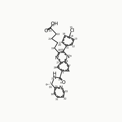 C[C@H](NC(=O)c1ccc2nc(-c3ccc(Cl)cc3)c(CCCCC(=O)O)nc2c1)c1ccccn1